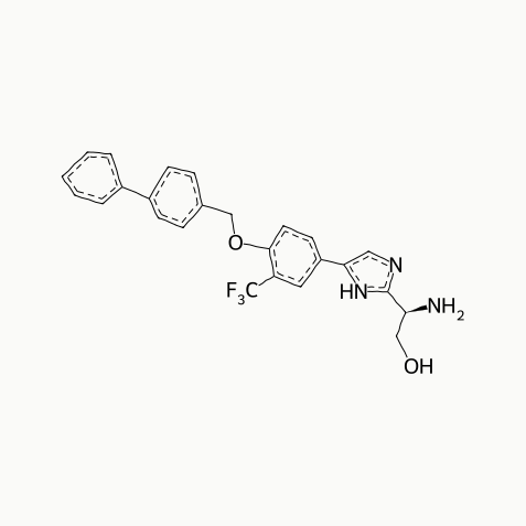 N[C@@H](CO)c1ncc(-c2ccc(OCc3ccc(-c4ccccc4)cc3)c(C(F)(F)F)c2)[nH]1